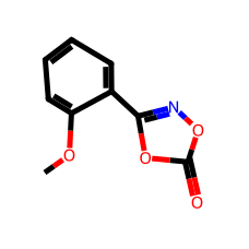 COc1ccccc1-c1noc(=O)o1